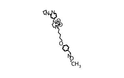 CCO/N=C/c1ccc(OCCCCCN2CCN(c3ccnc(N4CCC4)c3)S2(=O)=O)cc1